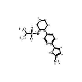 CC(C)S(=O)(=O)N[C@H]1COCC[C@H]1c1ccc(-c2ccc(N)s2)cc1